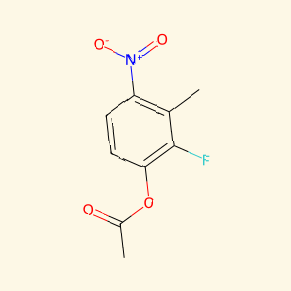 CC(=O)Oc1ccc([N+](=O)[O-])c(C)c1F